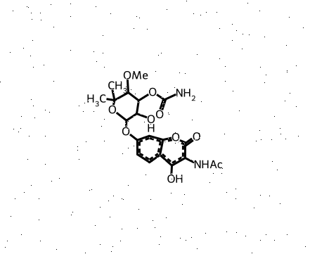 COC1C(OC(N)=O)C(O)C(Oc2ccc3c(O)c(NC(C)=O)c(=O)oc3c2)OC1(C)C